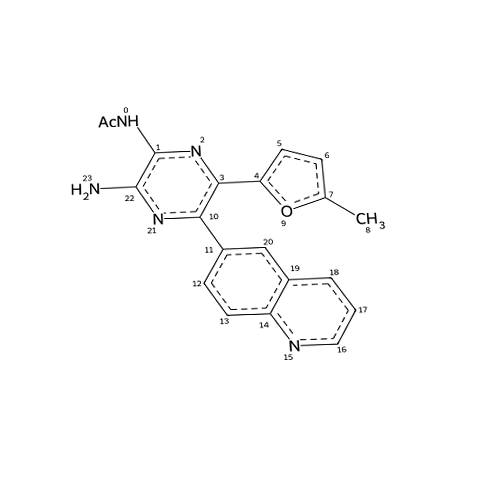 CC(=O)Nc1nc(-c2ccc(C)o2)c(-c2ccc3ncccc3c2)nc1N